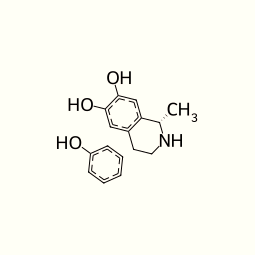 C[C@@H]1NCCc2cc(O)c(O)cc21.Oc1ccccc1